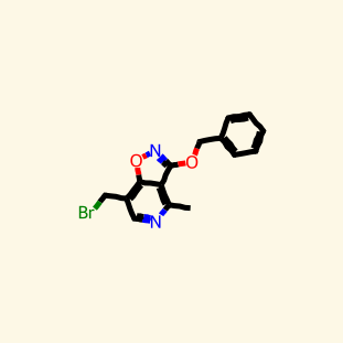 Cc1ncc(CBr)c2onc(OCc3ccccc3)c12